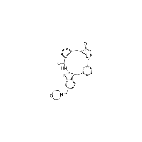 O=C1Nc2nc3cc(CN4CCOCC4)ccc3n2Cc2cccc(c2)-c2ccc(=O)n(n2)Cc2cccc1c2